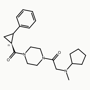 CN(CC(=O)N1CCN(C(=O)[C@H]2CC2c2ccccc2)CC1)C1CCCC1